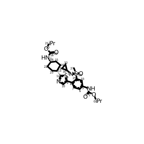 CC(C)OC(=O)Nc1ccc(-c2cnc([C@H]3CC[C@H](NC(=O)OC(C)C)CC3)s2)c(S(C)(=O)=NC2CC2)c1